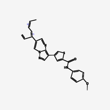 C=C/C(=C\C=C/C)c1cnc2c(-c3csc(C(=O)Nc4ccc(OC)cc4)c3)cnn2c1